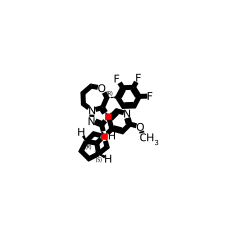 COc1cc(N2C[C@H]3CC[C@@H](C2)C3Nc2nc3n(n2)CCCO[C@@H]3c2ccc(F)c(F)c2F)ccn1